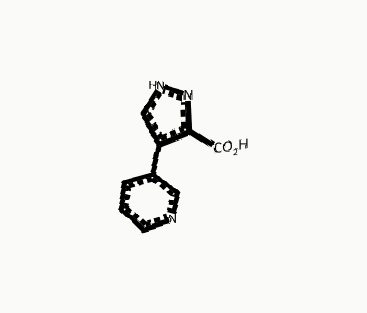 O=C(O)c1n[nH]cc1-c1cccnc1